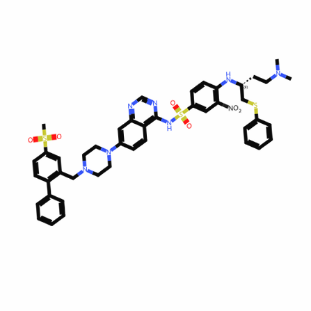 CN(C)CC[C@H](CSc1ccccc1)Nc1ccc(S(=O)(=O)Nc2ncnc3cc(N4CCN(Cc5cc(S(C)(=O)=O)ccc5-c5ccccc5)CC4)ccc23)cc1[N+](=O)[O-]